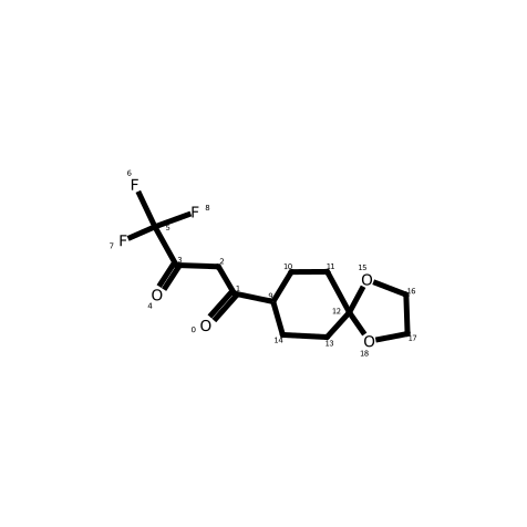 O=C(CC(=O)C(F)(F)F)C1CCC2(CC1)OCCO2